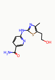 Cc1nc(Nc2ccc(C(N)=O)cn2)sc1CCO